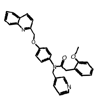 COc1ccccc1CC(=O)N(Cc1cccnc1)c1ccc(OCc2ccc3ccccc3n2)cc1